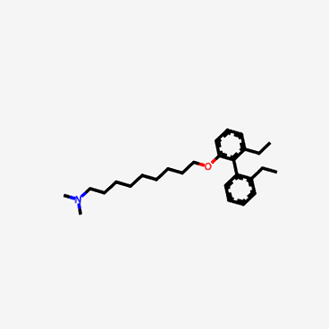 CCc1ccccc1-c1c(CC)cccc1OCCCCCCCCCN(C)C